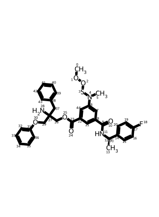 COOSN(C)c1cc(C(=O)N[C@H](C)c2ccc(F)cc2)cc(C(=O)OCC(N)(COc2ccccc2)Cc2ccccc2)c1